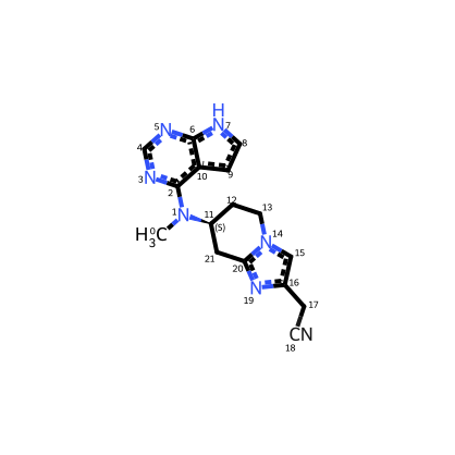 CN(c1ncnc2[nH]ccc12)[C@H]1CCn2cc(CC#N)nc2C1